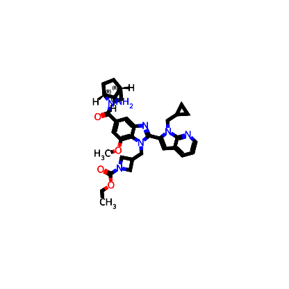 CCOC(=O)N1CC(Cn2c(-c3cc4cccnc4n3CC3CC3)nc3cc(C(=O)N4C[C@H]5CC[C@@H]4[C@@H]5N)cc(OC)c32)C1